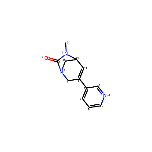 CN1C(=O)N2CC(c3cccnc3)=CC1C2